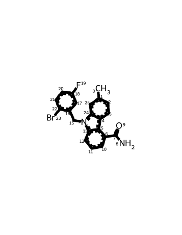 Cc1c[c]c2c3c(C(N)=O)cccc3n(Cc3cc(F)ccc3Br)c2c1